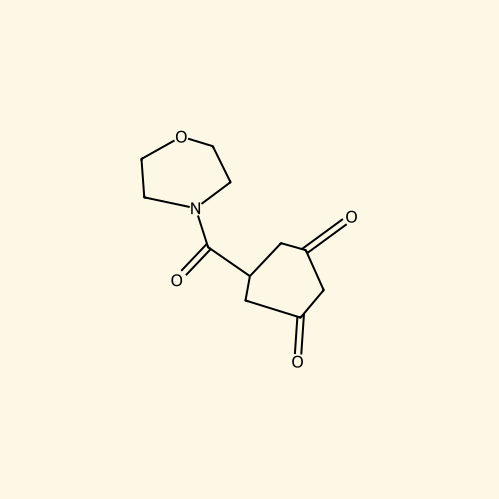 O=C1CC(=O)CC(C(=O)N2CCOCC2)C1